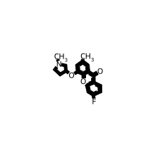 Cc1cc(OC2CCN(C)C2)c2oc3cc(F)ccc3c(=O)c2c1